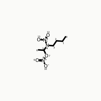 CCCCN(C(C)O[N+](=O)[O-])[N+](=O)[O-]